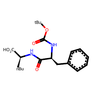 CCCC[C@H](NC(=O)[C@H](Cc1ccccc1)NC(=O)OC(C)(C)C)C(=O)O